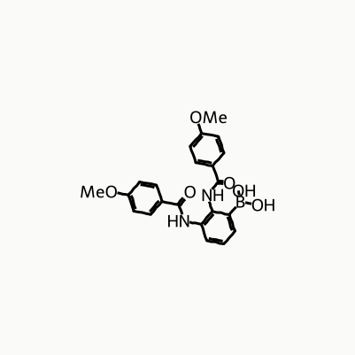 COc1ccc(C(=O)Nc2cccc(B(O)O)c2NC(=O)c2ccc(OC)cc2)cc1